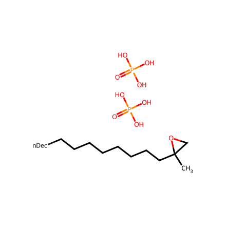 CCCCCCCCCCCCCCCCCCC1(C)CO1.O=P(O)(O)O.O=P(O)(O)O